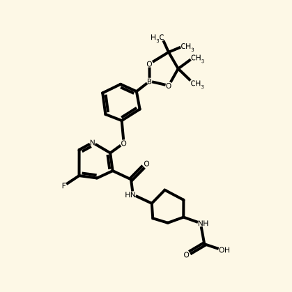 CC1(C)OB(c2cccc(Oc3ncc(F)cc3C(=O)NC3CCC(NC(=O)O)CC3)c2)OC1(C)C